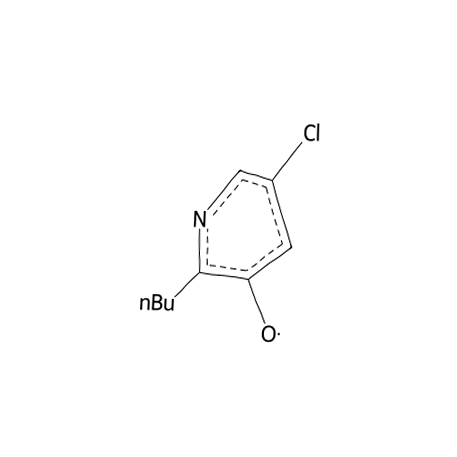 CCCCc1ncc(Cl)cc1[O]